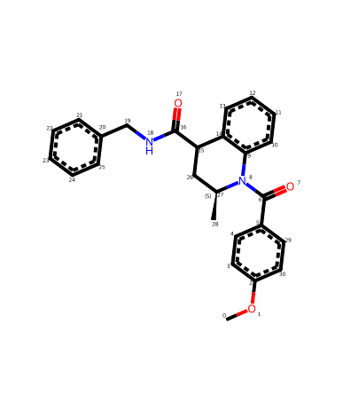 COc1ccc(C(=O)N2c3ccccc3C(C(=O)NCc3ccccc3)C[C@@H]2C)cc1